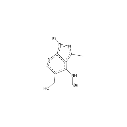 CCCCNc1c(CO)cnc2c1c(C)nn2CC